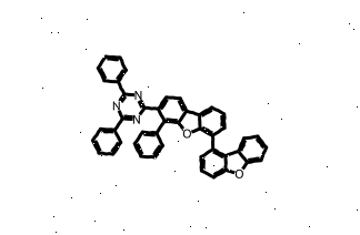 c1ccc(-c2nc(-c3ccccc3)nc(-c3ccc4c(oc5c(-c6cccc7oc8ccccc8c67)cccc54)c3-c3ccccc3)n2)cc1